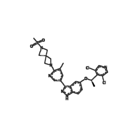 Cc1cc(-c2n[nH]c3ccc(O[C@H](C)c4c(Cl)cncc4Cl)cc23)cnc1N1CC2(C1)CN(S(C)(=O)=O)C2